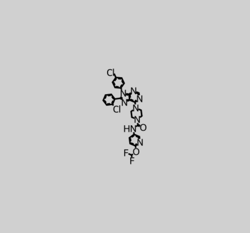 O=C(Nc1ccc(OC(F)F)nc1)N1CCN(c2ncnc3c2nc(-c2ccccc2Cl)n3-c2ccc(Cl)cc2)CC1